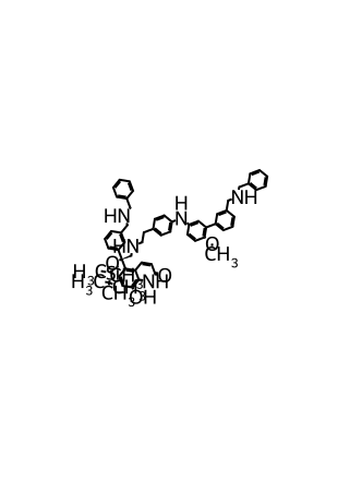 COc1ccc(Nc2ccc(CCNC[C@@](O[Si](C)(C)C(C)(C)C)(c3cccc(CNCc4ccccc4)c3)c3ccc(O)c4[nH]c(=O)ccc34)cc2)cc1-c1cccc(CNCc2ccccc2)c1